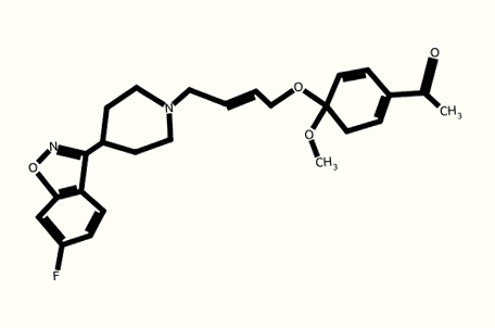 COC1(OCC=CCN2CCC(c3noc4cc(F)ccc34)CC2)C=CC(C(C)=O)=CC1